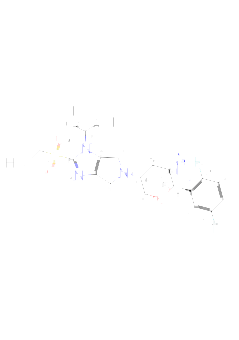 CCS(=O)(=O)c1nc2c(n1C(C)C)CN([C@H]1CO[C@H](c3cc(F)ccc3F)[C@@H](N)C1)C2